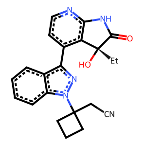 CC[C@]1(O)C(=O)Nc2nccc(-c3nn(C4(CC#N)CCC4)c4ccccc34)c21